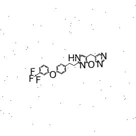 O=c1nc(CCc2ccc(Oc3cccc(C(F)(F)F)c3)cc2)[nH]cc1Cc1cncnc1